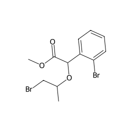 COC(=O)C(OC(C)CBr)c1ccccc1Br